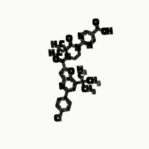 CC(C)(C)c1cc(-c2ccc(Cl)cc2)nc2cc(C(=O)N3CCN(c4ncc(C(=O)O)cn4)C(=O)C3(C)C)oc12